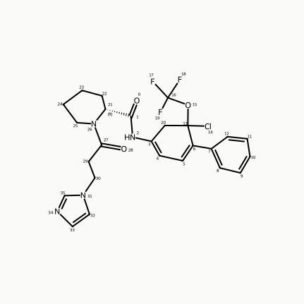 O=C(NC1=CC=C(c2ccccc2)C(Cl)(OC(F)(F)F)C1)[C@H]1CCCCN1C(=O)CCn1ccnc1